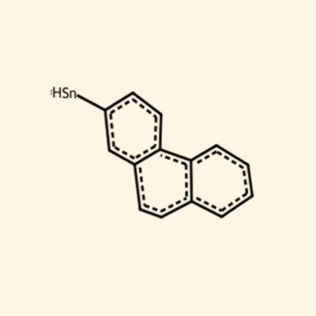 [SnH][c]1ccc2c(ccc3ccccc32)c1